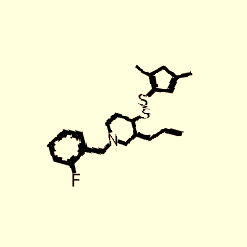 C=C/C=C1/CN(Cc2ccccc2F)CCC1SSC1=C(C)CC(C)=C1